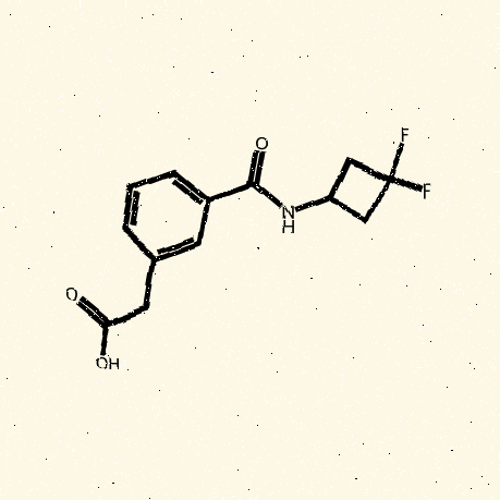 O=C(O)Cc1cccc(C(=O)NC2CC(F)(F)C2)c1